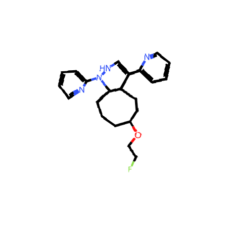 FCCOC1CCCC2C(CC1)C(c1ccccn1)=CNN2c1ccccn1